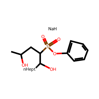 CCCCCCCC(O)C(CC(C)O)S(=O)(=O)Oc1ccccc1.[NaH]